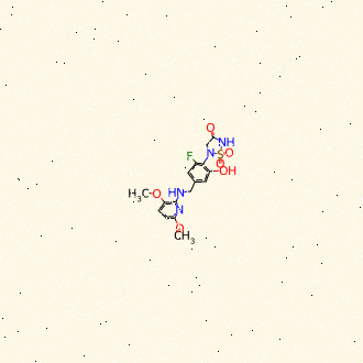 COc1ccc(OC)c(NCc2cc(O)c(N3CC(=O)NS3(=O)=O)c(F)c2)n1